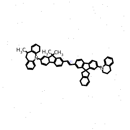 CC1Cc2ccccc2N(C2=CC3C(C=C2)c2ccc(/C=C/c4ccc5c(c4)C4(CC6=C(CCC=C6)C4)c4cc(N6CCCc7ccccc76)ccc4-5)cc2C3(C)C)C2=C1C=CCC2